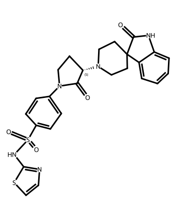 O=C1[C@@H](N2CCC3(CC2)C(=O)Nc2ccccc23)CCN1c1ccc(S(=O)(=O)Nc2nccs2)cc1